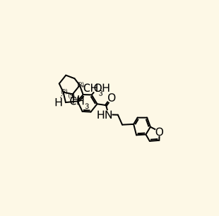 C[C@H]1[C@@H]2CCC[C@@]1(C)c1c(ccc(C(=O)NCCc3ccc4occc4c3)c1O)C2